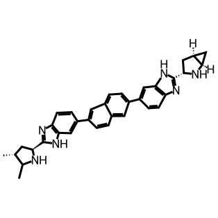 CC1N[C@H](c2nc3ccc(-c4ccc5cc(-c6ccc7nc([C@@H]8C[C@H]9C[C@H]9N8)[nH]c7c6)ccc5c4)cc3[nH]2)C[C@H]1C